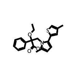 CCOC(Cn1c(C)ccc1-c1cc(C)cs1)(C(=O)O)c1ccccc1